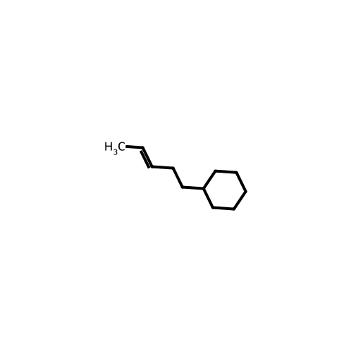 CC=CCCC1CCCCC1